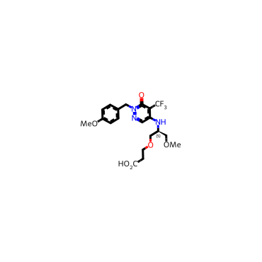 COC[C@@H](COCCC(=O)O)Nc1cnn(Cc2ccc(OC)cc2)c(=O)c1C(F)(F)F